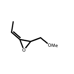 CC=C1OC1COC